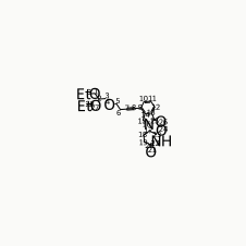 CCOC(COCCC#Cc1cccc2c1CN(C1CCC(=O)NC1=O)C2=O)OCC